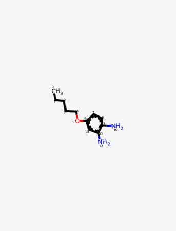 CCCCCOc1ccc(N)c(N)c1